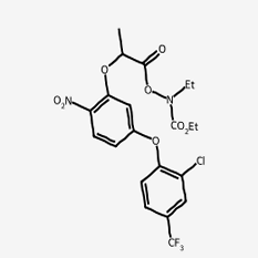 CCOC(=O)N(CC)OC(=O)C(C)Oc1cc(Oc2ccc(C(F)(F)F)cc2Cl)ccc1[N+](=O)[O-]